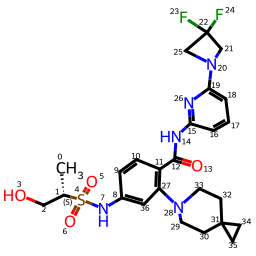 C[C@@H](CO)S(=O)(=O)Nc1ccc(C(=O)Nc2cccc(N3CC(F)(F)C3)n2)c(N2CCC3(CC2)CC3)c1